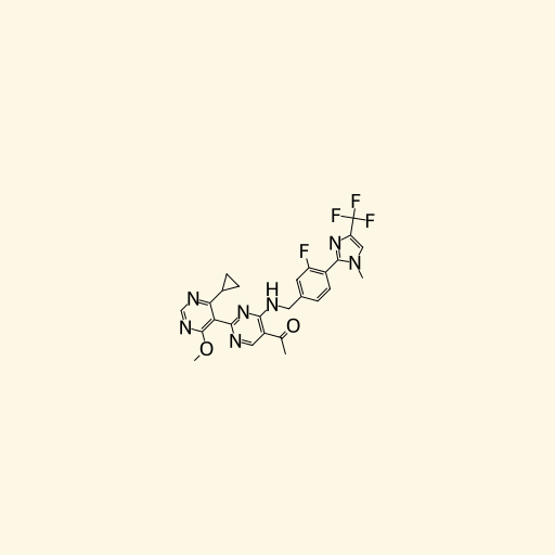 COc1ncnc(C2CC2)c1-c1ncc(C(C)=O)c(NCc2ccc(-c3nc(C(F)(F)F)cn3C)c(F)c2)n1